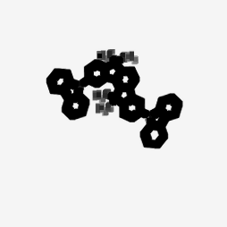 CC1(C)c2ccc(-n3c4ccccc4c4ccccc43)cc2-c2c1ccc1c2C(C)(C)c2ccc(-n3c4c(c5ccccc53)CCC=C4)cc2-1